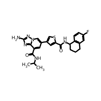 CC(C)NC(=O)c1cc(-c2csc(C(=O)NC3CCCc4cc(F)ccc43)c2)cn2nc(N)nc12